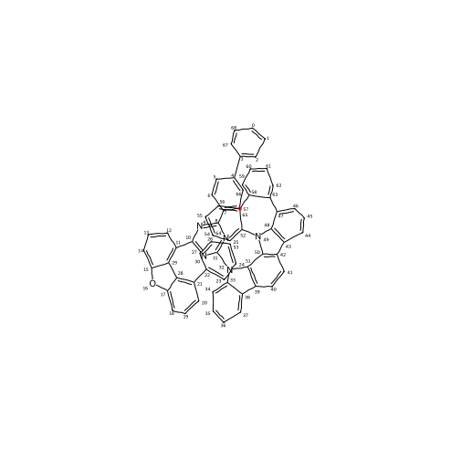 c1ccc(-c2ccc(-c3nc(-c4cccc5oc6cccc(-c7ccccc7)c6c45)nc(-n4c5ccccc5c5ccc6c7cccc8c7n(c6c54)-c4ccccc4-c4ccccc4-8)n3)cc2)cc1